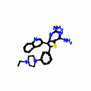 CCN1CCN(c2cccc(-c3sc4c(N)nc(N)nc4c3-c3cnc4ccccc4c3)c2)CC1